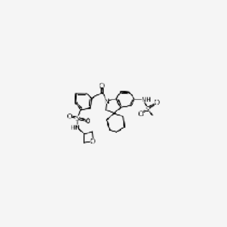 CS(=O)(=O)Nc1ccc2c(c1)C1(CCCCC1)CN2C(=O)c1cccc(S(=O)(=O)NC2COC2)c1